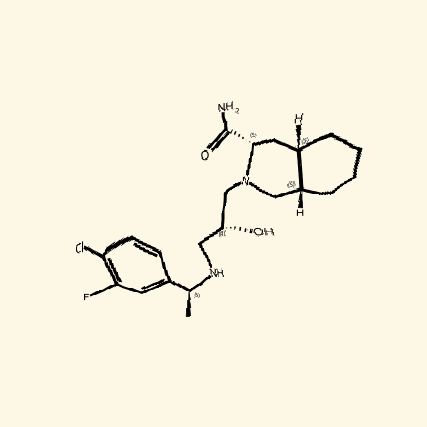 C[C@H](NC[C@@H](O)CN1C[C@H]2CCCC[C@H]2C[C@H]1C(N)=O)c1ccc(Cl)c(F)c1